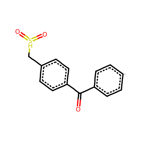 O=C(c1cc[c]cc1)c1ccc(C[SH](=O)=O)cc1